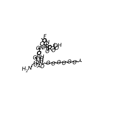 CC[C@@]1(O)C(=O)OCc2c1cc1n(c2=O)Cc2c-1nc1cc(F)c(C)c3c1c2[C@@H](NC(=O)c1ccc(NC(=O)[C@H](CCCCN)NC(=O)[C@@H](NC(=O)CCOCCOCCOCCOCCOCCOCCC(C)C)C(C)C)cc1)CC3